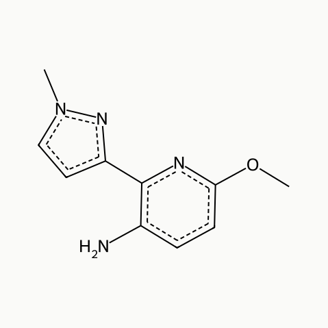 COc1ccc(N)c(-c2ccn(C)n2)n1